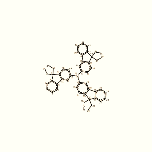 CCC1(CC)c2ccccc2-c2cc(N(c3ccc4c(c3)-c3ccccc3C4(CC)CC)c3ccc4c(c3)-c3ccccc3C4(CC)CC)ccc21